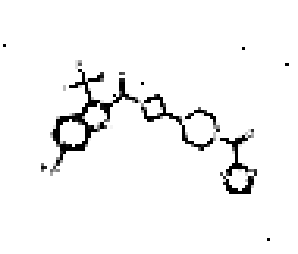 Cc1ccc2c(C(F)(F)F)c(C(=O)N3CC(N4CCN(C(=O)c5nccs5)CC4)C3)sc2c1